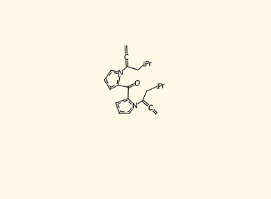 C=C=C(CC(C)C)n1cccc1C(=O)c1cccn1C(=C=C)CC(C)C